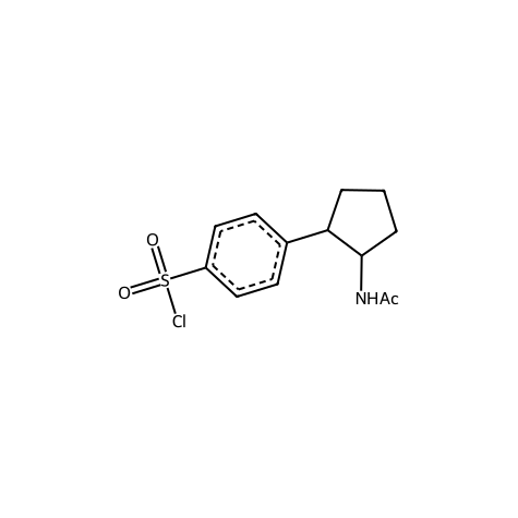 CC(=O)NC1CCCC1c1ccc(S(=O)(=O)Cl)cc1